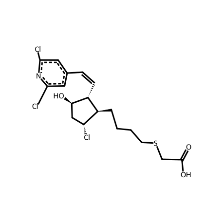 O=C(O)CSCCCC[C@@H]1[C@@H](/C=C\c2cc(Cl)nc(Cl)c2)[C@H](O)C[C@H]1Cl